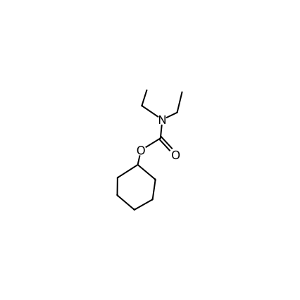 CCN(CC)C(=O)OC1CCCCC1